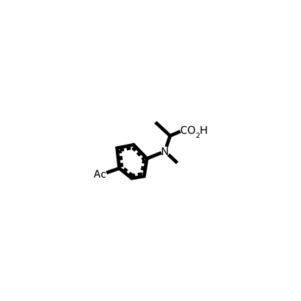 CC(=O)c1ccc(N(C)C(C)C(=O)O)cc1